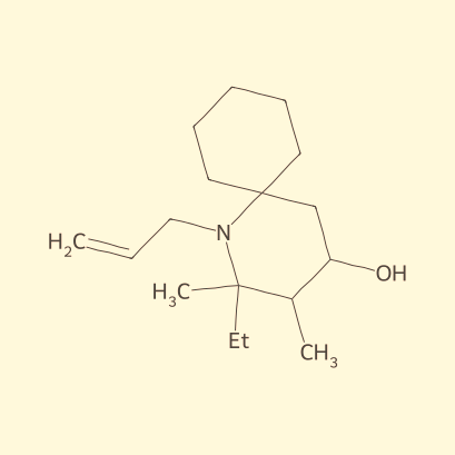 C=CCN1C2(CCCCC2)CC(O)C(C)C1(C)CC